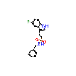 O=S(=O)(CCc1c[nH]c2ccc(F)cc12)NCc1ccccc1